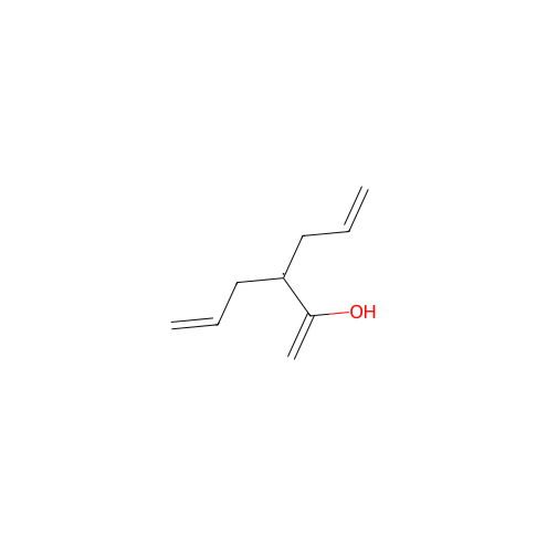 C=CC[C](CC=C)C(=C)O